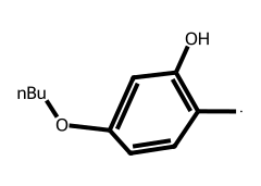 [CH2]c1ccc(OCCCC)cc1O